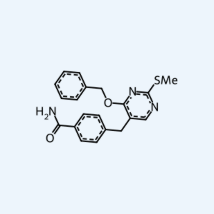 CSc1ncc(Cc2ccc(C(N)=O)cc2)c(OCc2ccccc2)n1